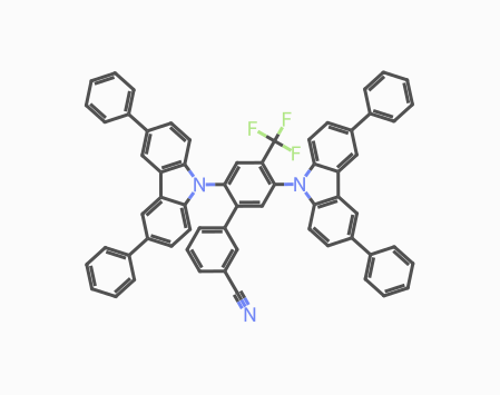 N#Cc1cccc(-c2cc(-n3c4ccc(-c5ccccc5)cc4c4cc(-c5ccccc5)ccc43)c(C(F)(F)F)cc2-n2c3ccc(-c4ccccc4)cc3c3cc(-c4ccccc4)ccc32)c1